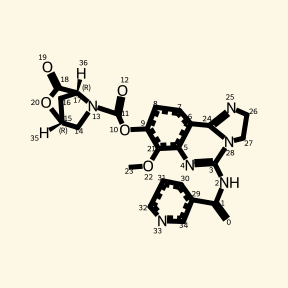 C=C(NC1=Nc2c(ccc(OC(=O)N3C[C@H]4C[C@@H]3C(=O)O4)c2OC)C2=NCCN12)c1cccnc1